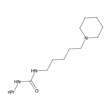 CCCNC(=O)NCCCCCN1CC[CH]CC1